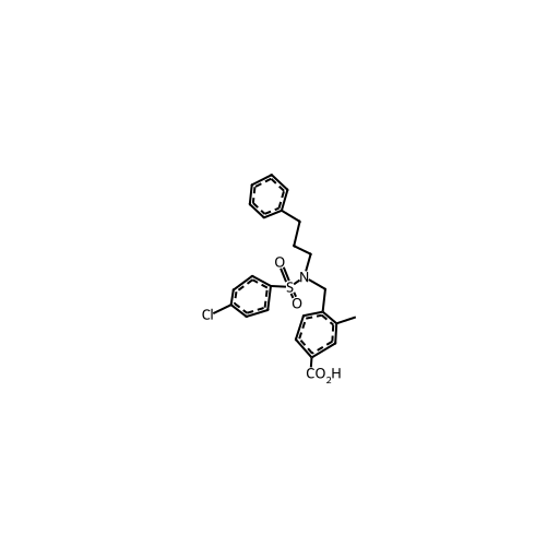 Cc1cc(C(=O)O)ccc1CN(CCCc1ccccc1)S(=O)(=O)c1ccc(Cl)cc1